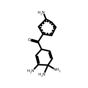 NC1=CC(C(=O)c2cccc(N)c2)C=CC1(N)N